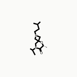 CC(C)CCN1CC2(C1)CN(C(C)C)C(=O)[C@@H](C)O2